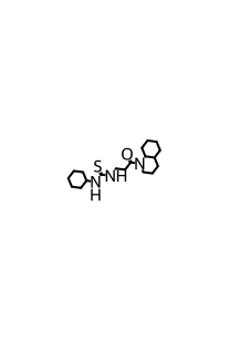 O=C(CCNC(=S)NC1CCCCC1)N1CCCC2CCCCC21